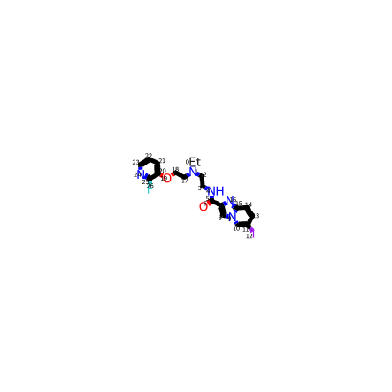 CCN(CCNC(=O)c1cn2cc(I)ccc2n1)CCOc1cccnc1F